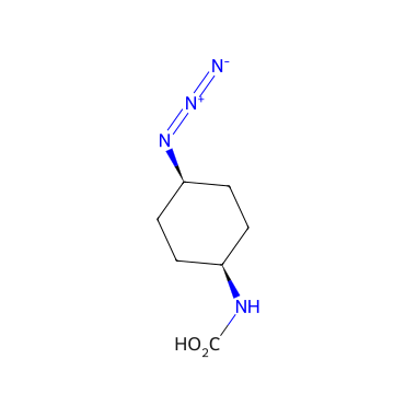 [N-]=[N+]=N[C@H]1CC[C@@H](NC(=O)O)CC1